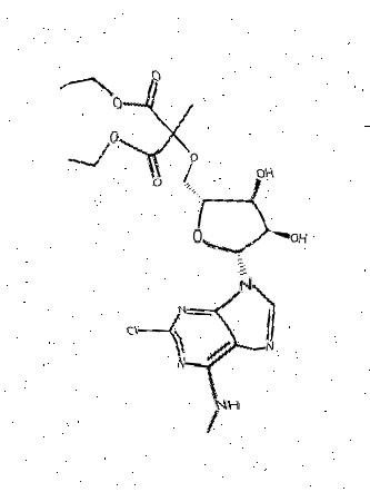 CCOC(=O)C(C)(OC[C@H]1O[C@@H](n2cnc3c(NC)nc(Cl)nc32)[C@H](O)[C@@H]1O)C(=O)OCC